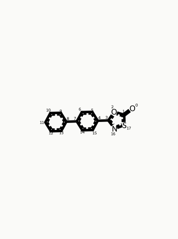 O=c1oc(-c2ccc(-c3ccccc3)cc2)ns1